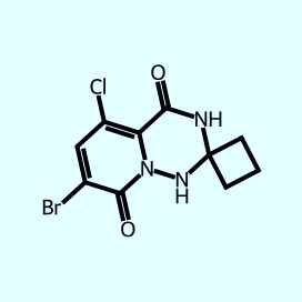 O=C1NC2(CCC2)Nn2c1c(Cl)cc(Br)c2=O